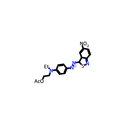 CCN(CCOC(C)=O)c1ccc(/N=N/C2SN=C3C=CC([N+](=O)[O-])=CC32)cc1